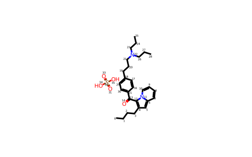 CCCCc1cc2ccccn2c1C(=O)c1ccc(CCCN(CCC)CCC)cc1.O=S(=O)(O)O